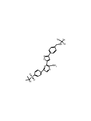 [2H]C([2H])([2H])NCc1ccc(-c2cc(-c3nc(-c4ccc(S(=O)(=O)C([2H])(C)C)cc4)cnc3N)on2)cc1